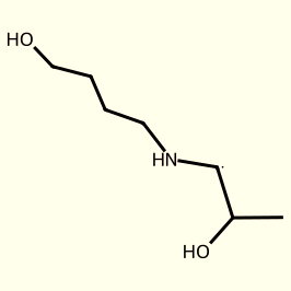 CC(O)[CH]NCCCCO